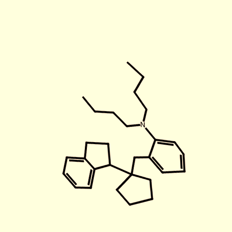 CCCCN(CCCC)c1ccccc1CC1(C2CCc3ccccc32)CCCC1